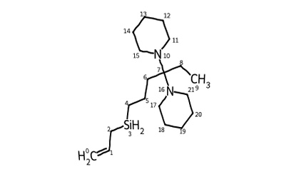 C=CC[SiH2]CCCC(CC)(N1CCCCC1)N1CCCCC1